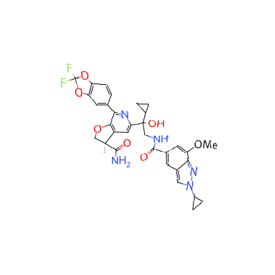 COc1cc(C(=O)NCC(O)(c2cc3c(c(-c4ccc5c(c4)OC(F)(F)O5)n2)OC[C@]3(C)C(N)=O)C2CC2)cc2cn(C3CC3)nc12